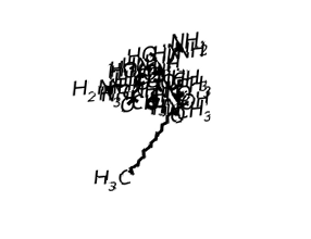 CCCCCCCCCCCCCCCC(=O)N[C@H](C(=O)N[C@H](C(=O)N[C@@H](Cc1ccccc1)C(=O)N[C@@H](CCCNC(=N)N)C(=O)N[C@@H](CO)C(=O)N[C@@H](CO)C(=O)N[C@@H](CCCNC(=N)N)C(=O)N[C@@H](C)C(C)=O)C(C)C)[C@@H](C)O